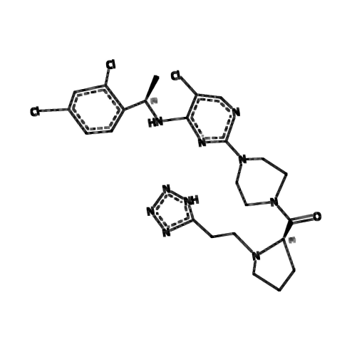 C[C@@H](Nc1nc(N2CCN(C(=O)[C@H]3CCCN3CCc3nnn[nH]3)CC2)ncc1Cl)c1ccc(Cl)cc1Cl